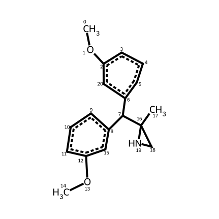 COc1cccc(C(c2cccc(OC)c2)C2(C)CN2)c1